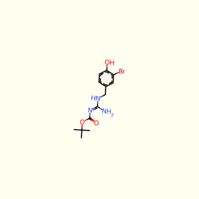 CC(C)(C)OC(=O)/N=C(\N)NCc1ccc(O)c(Br)c1